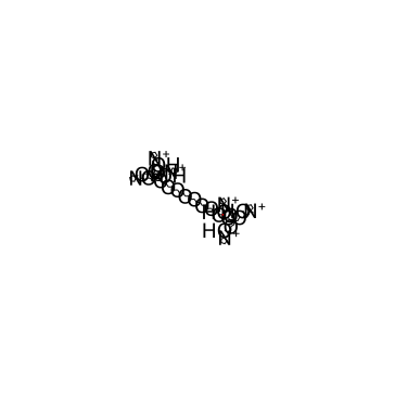 C[N+]1(CC(O)COCC(COCCOCCOCCOCCOCCOCCOCCOCCOCC(COCC(O)C[N+]2(C)CCCC2)(COCC(O)C[N+]2(C)CCCC2)COCC(O)C[N+]2(C)CCCC2)(COCC(O)C[N+]2(C)CCCC2)COCC(O)C[N+]2(C)CCCC2)CCCC1